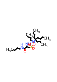 CCCCNC(=O)C(N)CS(=O)(=O)ON(CCCC)C(CCC)(CCCC)CCCC